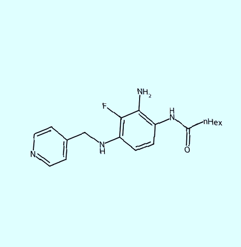 CCCCCCC(=O)Nc1ccc(NCc2ccncc2)c(F)c1N